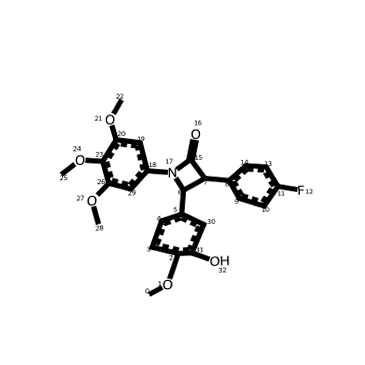 COc1ccc(C2C(c3ccc(F)cc3)C(=O)N2c2cc(OC)c(OC)c(OC)c2)cc1O